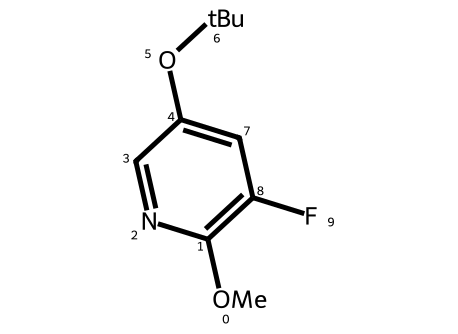 COc1ncc(OC(C)(C)C)cc1F